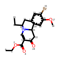 CCOC(=O)C1=CN2C(CC)Cc3cc(Br)c(OC)cc3C2CC1=O